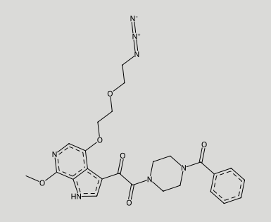 COc1ncc(OCCOCCN=[N+]=[N-])c2c(C(=O)C(=O)N3CCN(C(=O)c4ccccc4)CC3)c[nH]c12